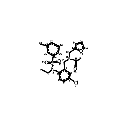 CCN(c1ccc(Cl)cc1CN(Cc1ccco1)C(C)=O)S(=O)(=O)c1cccc(C)c1